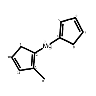 CC1=[C]([Mg][C]2=CC=CC2)CC=C1